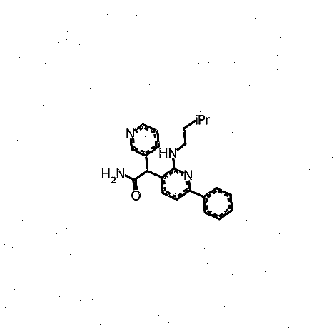 CC(C)CCNc1nc(-c2ccccc2)ccc1C(C(N)=O)c1cccnc1